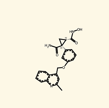 Cc1cc(COc2cccc([C@]3(C(N)=O)C[C@@H]3C(=O)NO)c2)c2ccccc2n1